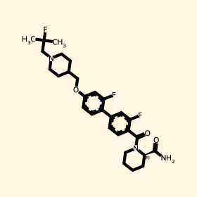 CC(C)(F)CN1CCC(COc2ccc(-c3ccc(C(=O)N4CCCC[C@@H]4C(N)=O)c(F)c3)c(F)c2)CC1